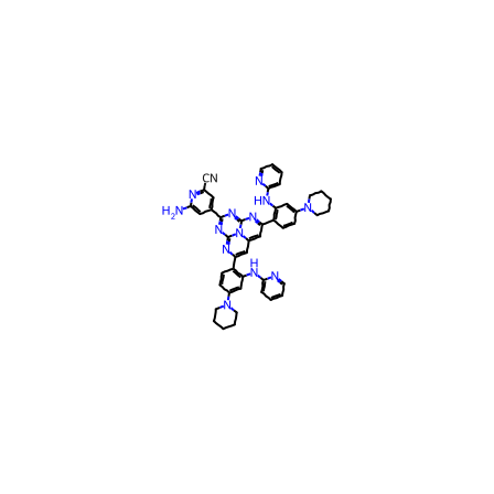 N#Cc1cc(C2=NC3=NC(c4ccc(N5CCCCC5)cc4Nc4ccccn4)=CC4=CC(c5ccc(N6CCCCC6)cc5Nc5ccccn5)=NC(=N2)N43)cc(N)n1